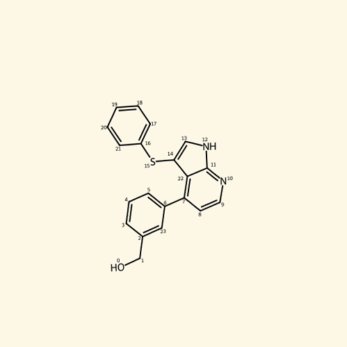 OCc1cccc(-c2ccnc3[nH]cc(Sc4ccccc4)c23)c1